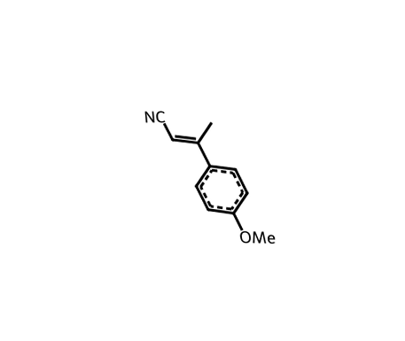 COc1ccc(C(C)=CC#N)cc1